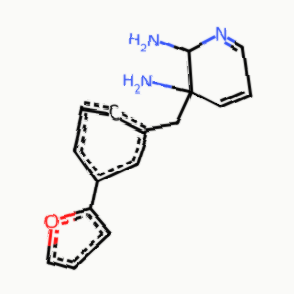 NC1N=CC=CC1(N)Cc1cccc(-c2ccco2)c1